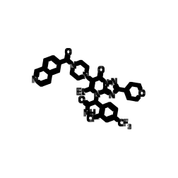 CCc1c(N2CCN(C(=O)c3ccc4cnccc4c3)CC2)c(=O)n2nc(C3=CCOCC3)nc2n1C(C(N)=O)c1ccc(C(F)(F)F)cc1Cl